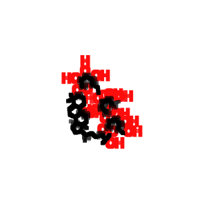 C[C@H](CC[C@@H](O[C@@H]1O[C@H](CO)[C@@H](O)[C@H](O)[C@H]1O[C@H]1O[C@@H](CO)[C@H](O)[C@@H](O)[C@@H]1O)C(C)(C)O)C1CC[C@@]2(C)C3CC=C4C(CC[C@H](O[C@@H]5O[C@H](CCO)[C@@H](O)[C@H](O)[C@H]5O)C4(C)C)[C@]3(C)[C@H](O)C[C@]12C